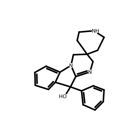 OC1(c2ccccc2)C2=NCC3(CCNCC3)CN2c2ccccc21